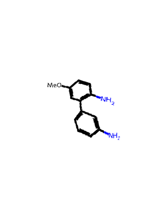 COc1ccc(N)c(-c2cccc(N)c2)c1